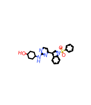 O=S(=O)(c1ccccc1)n1cc(-c2ccnc(NC3CCC(O)CC3)n2)c2ccccc21